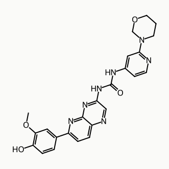 COc1cc(-c2ccc3ncc(NC(=O)Nc4ccnc(N5CCCOC5)c4)nc3n2)ccc1O